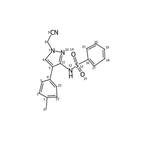 Cc1ccc(-c2cn(CC#N)nc2NS(=O)(=O)c2ccccc2)cc1